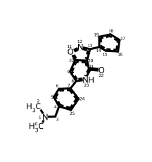 CN(C)Cc1ccc(-c2cc3onc(-c4ccccc4)c3c(=O)[nH]2)cc1